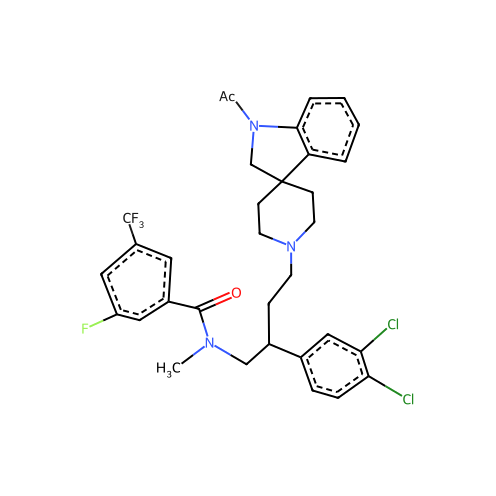 CC(=O)N1CC2(CCN(CCC(CN(C)C(=O)c3cc(F)cc(C(F)(F)F)c3)c3ccc(Cl)c(Cl)c3)CC2)c2ccccc21